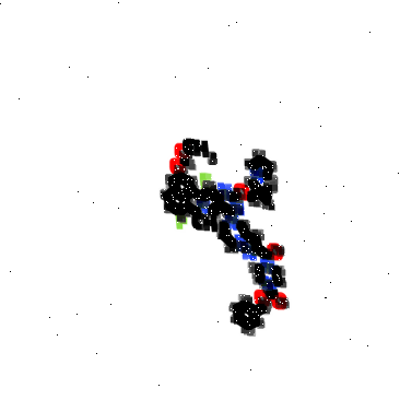 CCc1c(F)ccc2cc(OCOC)cc(-c3ncc4c(N5CCCn6nc(C(=O)N7CCN(C(=O)OCc8ccccc8)CC7)cc6C5)nc(OCC5(CN6CCCC6)CC5)nc4c3F)c12